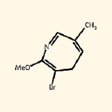 COC1=C(Br)CC=C(C)C=N1